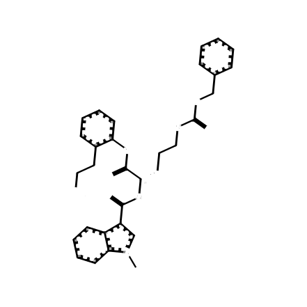 Cn1cc(C(=O)N[C@@H](CCCNC(=O)OCc2ccccc2)C(=O)Nc2ccccc2CCC(=O)O)c2ccccc21